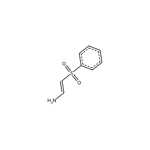 NC=CS(=O)(=O)c1ccccc1